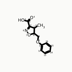 CC1C(C(=O)O)=NOC1COc1ccccc1